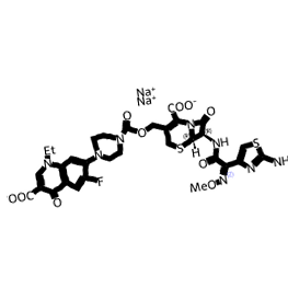 CCn1cc(C(=O)[O-])c(=O)c2cc(F)c(N3CCN(C(=O)OCC4=C(C(=O)[O-])N5C(=O)[C@@H](NC(=O)/C(=N\OC)c6csc(N)n6)[C@H]5SC4)CC3)cc21.[Na+].[Na+]